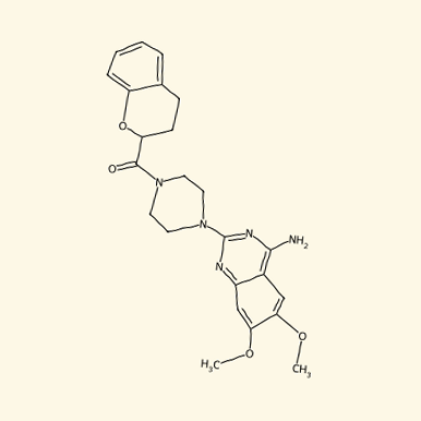 COc1cc2nc(N3CCN(C(=O)C4CCc5ccccc5O4)CC3)nc(N)c2cc1OC